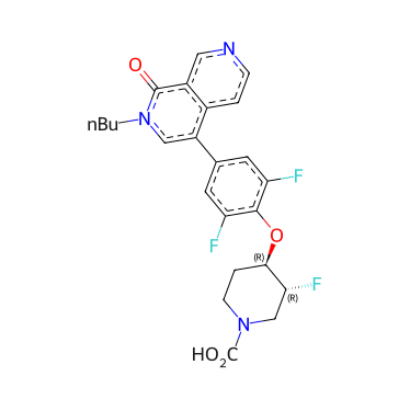 CCCCn1cc(-c2cc(F)c(O[C@@H]3CCN(C(=O)O)C[C@H]3F)c(F)c2)c2ccncc2c1=O